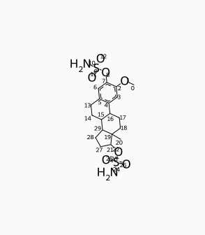 COc1cc2c(cc1OS(N)(=O)=O)CCC1C2CCC2(C)C(OS(N)(=O)=O)CCC12